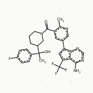 Cc1ncc(-c2cc(C(F)(F)F)c3c(N)ncnn23)cc1C(=O)N1CCCC(C(C)(O)c2ccc(F)cc2)C1